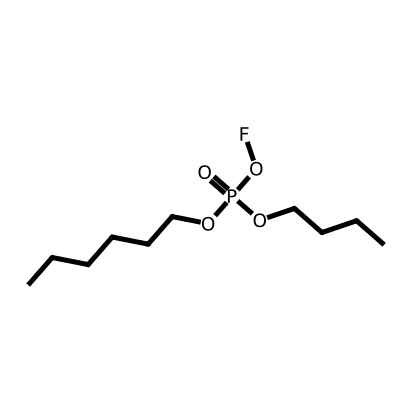 CCCCCCOP(=O)(OF)OCCCC